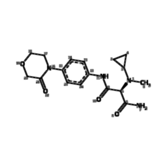 CN(C1CC1)[C@@H](C(N)=O)C(=O)Nc1ccc(N2CCOCC2=O)cc1